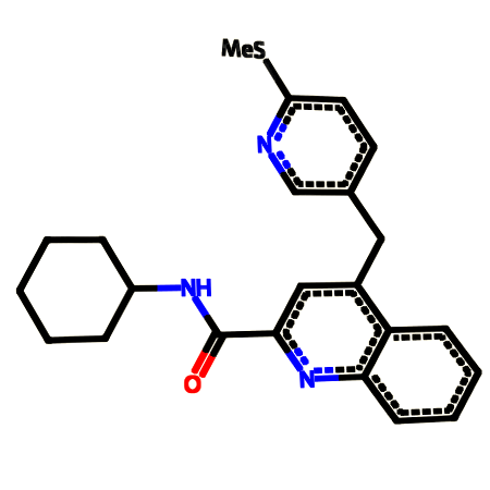 CSc1ccc(Cc2cc(C(=O)NC3CCCCC3)nc3ccccc23)cn1